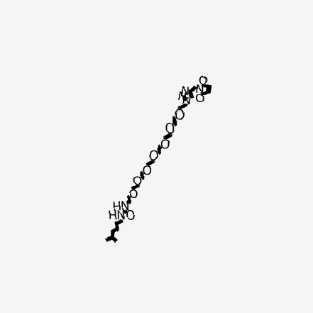 CC(C)CCCCNC(=O)NCCOCCOCCOCCOCCOCCOCCOCCn1cc(CN2C(=O)C=CC2=O)nn1